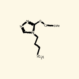 CSOOc1nncn1CCCS(=O)(=O)O